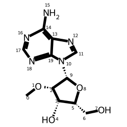 CO[C@H]1[C@@H](O)[C@@H](CO)O[C@H]1n1cnc2c(N)ncnc21